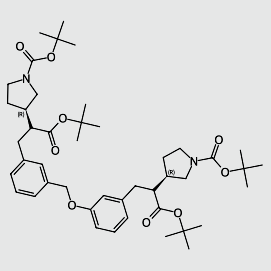 CC(C)(C)OC(=O)C(Cc1cccc(COc2cccc(CC(C(=O)OC(C)(C)C)[C@H]3CCN(C(=O)OC(C)(C)C)C3)c2)c1)[C@H]1CCN(C(=O)OC(C)(C)C)C1